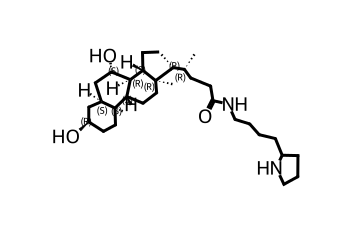 C[C@H](CCC(=O)NCCCCC1CCCN1)[C@H]1CC[C@H]2[C@@H]3[C@@H](O)C[C@@H]4C[C@H](O)CC[C@]4(C)[C@H]3CC[C@]12C